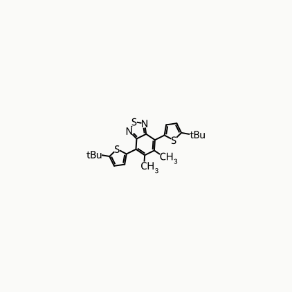 Cc1c(C)c(-c2ccc(C(C)(C)C)s2)c2nsnc2c1-c1ccc(C(C)(C)C)s1